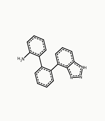 Nc1ccccc1-c1ccccc1-c1cccc2[nH]nnc12